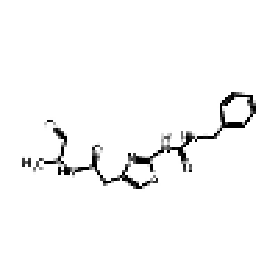 CC(C=O)NC(=O)Cc1csc(NC(=O)NCc2ccccc2)n1